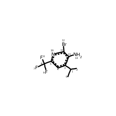 CC(C)c1cc(C(F)(F)F)nc(Br)c1N